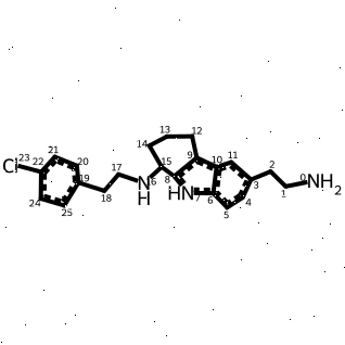 NCCc1ccc2[nH]c3c(c2c1)CCCC3NCCc1ccc(Cl)cc1